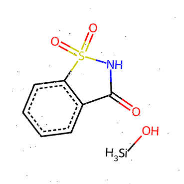 O=C1NS(=O)(=O)c2ccccc21.O[SiH3]